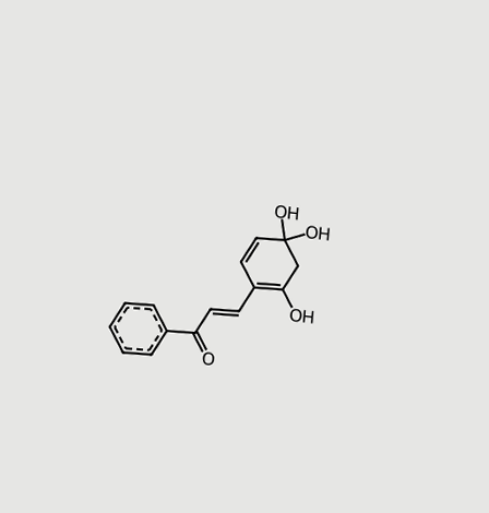 O=C(C=CC1=C(O)CC(O)(O)C=C1)c1ccccc1